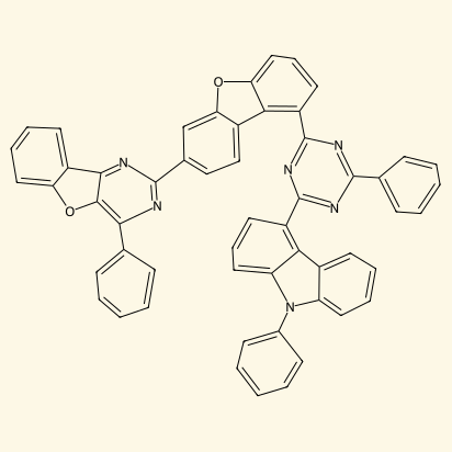 c1ccc(-c2nc(-c3cccc4oc5cc(-c6nc(-c7ccccc7)c7oc8ccccc8c7n6)ccc5c34)nc(-c3cccc4c3c3ccccc3n4-c3ccccc3)n2)cc1